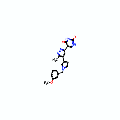 Cc1nnc(-c2c[nH]c(=O)[nH]c2=O)cc1-c1ccn(Cc2cccc(OC(F)(F)F)c2)c1